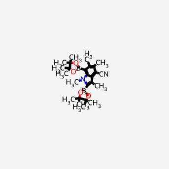 Cc1c(C)c(B2OC(C)(C)C(C)(C)O2)c2c(c(C)c(B3OC(C)(C)C(C)(C)O3)n2C)c1C#N